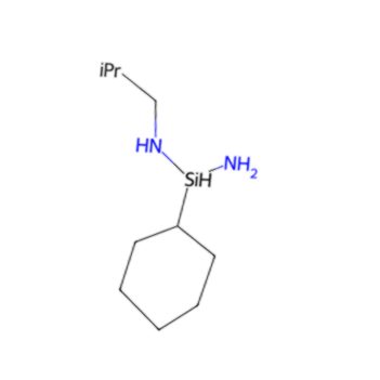 CC(C)CN[SiH](N)C1CCCCC1